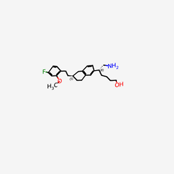 COc1cc(F)ccc1CC[C@@H]1CCc2cc([C@H](CN)CCCCO)ccc2C1